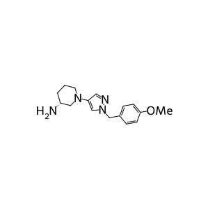 COc1ccc(Cn2cc(N3CCC[C@@H](N)C3)cn2)cc1